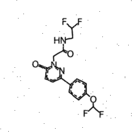 O=C(Cn1nc(-c2ccc(OC(F)F)cc2)ccc1=O)NCC(F)F